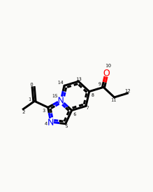 C=C(C)c1ncc2cc(C(=O)CC)ccn12